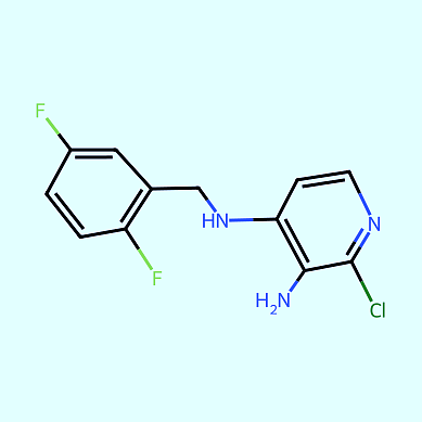 Nc1c(NCc2cc(F)ccc2F)ccnc1Cl